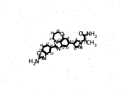 C[C@H](C(N)=O)n1cc(-c2cc3c4c(c2)nc(-c2ccc5oc(N)nc5c2)n4CCCO3)cn1